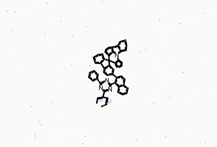 C/C=C\C(=C/C)c1nc(-c2ccccc2)nc(-c2c(-c3ccc4c(c3)C3(c5ccccc5-4)c4ccccc4-n4c5ccccc5c5cccc3c54)ccc3ccccc23)n1